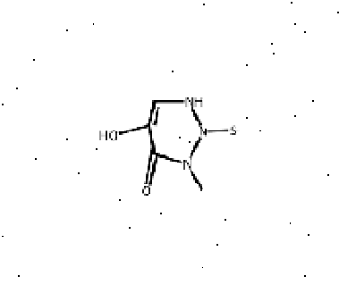 CN1C(=O)C(O)=CNN1[S]